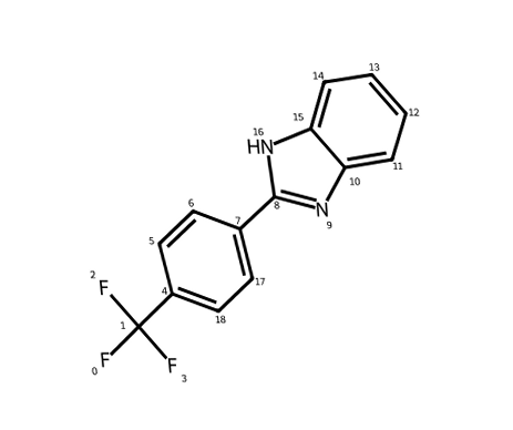 FC(F)(F)c1ccc(-c2nc3ccccc3[nH]2)cc1